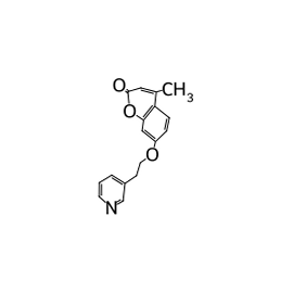 Cc1cc(=O)oc2cc(OCCc3cccnc3)ccc12